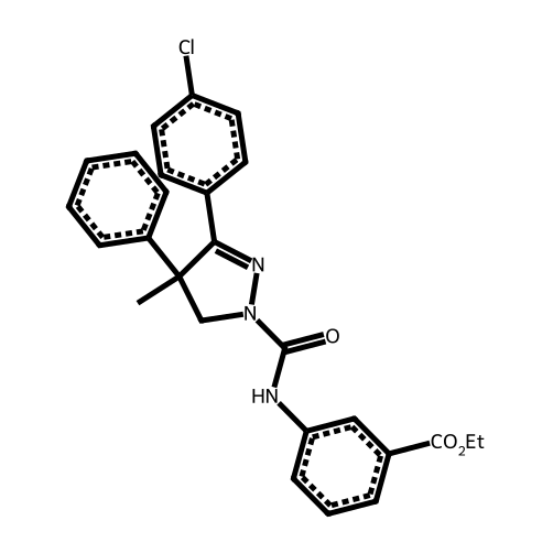 CCOC(=O)c1cccc(NC(=O)N2CC(C)(c3ccccc3)C(c3ccc(Cl)cc3)=N2)c1